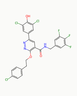 O=C(NCc1cc(F)c(F)c(F)c1)c1cc(-c2cc(Cl)c(O)c(Cl)c2)nnc1OCCc1ccc(Cl)cc1